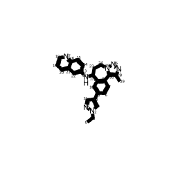 CCn1cc(-c2ccc3c(c2)C(Nc2ccc4ncccc4c2)CCn2nnc(C)c2-3)cn1